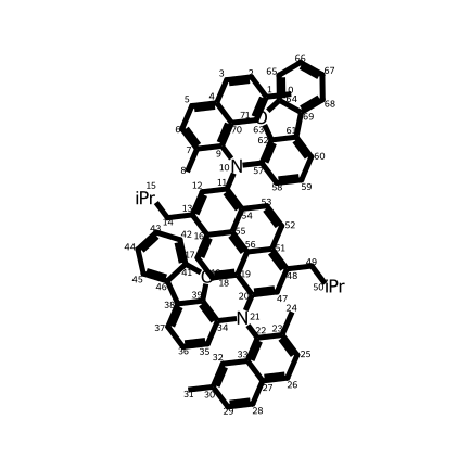 Cc1ccc2ccc(C)c(N(c3cc(CC(C)C)c4ccc5c(N(c6c(C)ccc7ccc(C)cc67)c6cccc7c6oc6ccccc67)cc(CC(C)C)c6ccc3c4c65)c3cccc4c3oc3ccccc34)c2c1